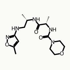 Cc1cc(NC[C@H](C)NC(=O)[C@H](C)NC(=O)N2CCOCC2)no1